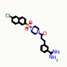 N=C(N)c1cccc(CCC(=O)N2CCN(S(=O)(=O)c3ccc4cc(Cl)ccc4c3)CC2)c1